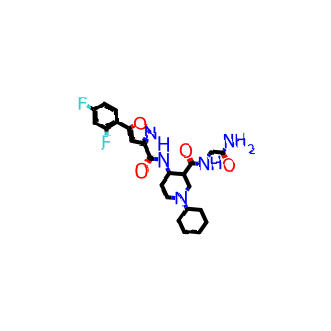 NC(=O)CNC(=O)C1CN(C2CCCCC2)CCC1NC(=O)c1cc(-c2ccc(F)cc2F)on1